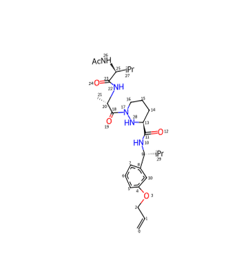 C=CCOc1cccc([C@H](NC(=O)[C@@H]2CCCN(C(=O)[C@H](C)NC(=O)[C@@H](NC(C)=O)C(C)C)N2)C(C)C)c1